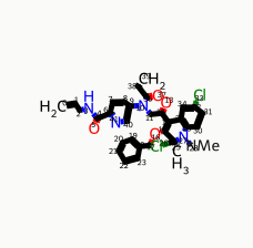 C=CCNC(=O)c1ccc(N(CC(=O)C2=C(OCc3ccccc3)C(C)(Cl)N(NC)c3ccc(Cl)cc32)C(=O)C=C)cn1